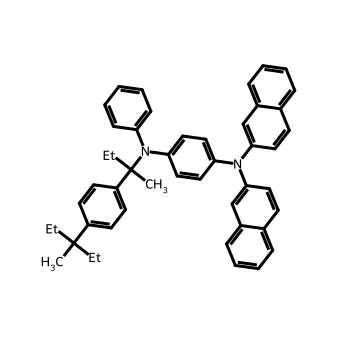 CCC(C)(CC)c1ccc(C(C)(CC)N(c2ccccc2)c2ccc(N(c3ccc4ccccc4c3)c3ccc4ccccc4c3)cc2)cc1